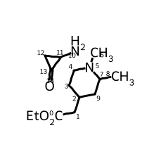 CCOC(=O)CC1CCN(C)C(C)C1.NC1CC1=O